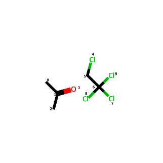 CC(C)=O.ClCC(Cl)(Cl)Cl